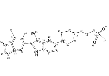 Cc1c(-c2[nH]c3ccc(N4CCN(CCCS(C)(=O)=O)CC4)nc3c2C(C)C)cn2ncnc2c1C